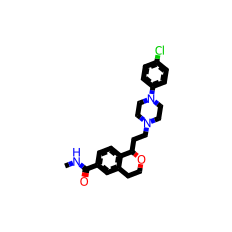 CNC(=O)c1ccc2c(c1)CCOC2CCN1CCN(c2ccc(Cl)cc2)CC1